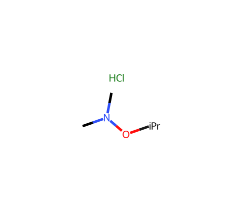 CC(C)ON(C)C.Cl